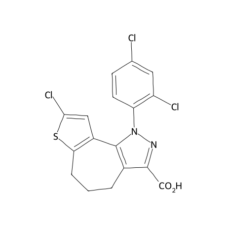 O=C(O)c1nn(-c2ccc(Cl)cc2Cl)c2c1CCCc1sc(Cl)cc1-2